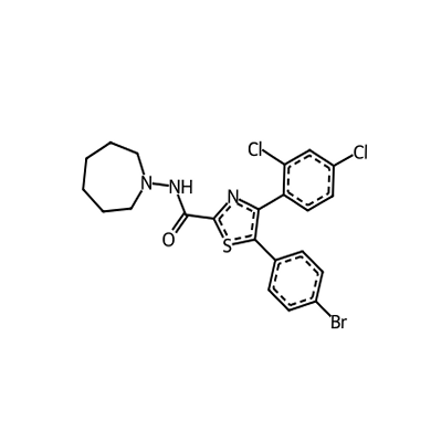 O=C(NN1CCCCCC1)c1nc(-c2ccc(Cl)cc2Cl)c(-c2ccc(Br)cc2)s1